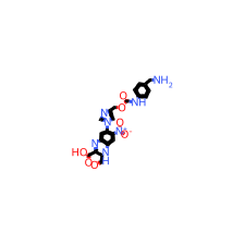 NCc1ccc(NC(=O)OCc2cn(-c3cc4c(cc3[N+](=O)[O-])NC(C=O)C(C(=O)O)=N4)cn2)cc1